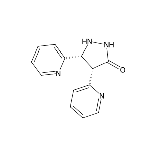 O=C1NN[C@@H](c2ccccn2)[C@H]1c1ccccn1